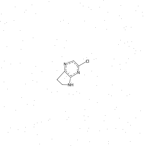 Clc1cnc2c(n1)NCC2